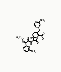 CO/N=C(\C(=O)NC1C(=O)N2C(C(=O)[O-])=C(C[n+]3ccnc(N)c3)CS[C@H]12)c1cccc(N)n1